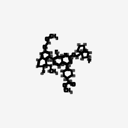 CCc1c(F)ccc2cc(OCOC)cc(-c3ncc4c(N5CCC(C(=O)OC)CC5)nc(OC[C@@]56CCCN5C[C@H](F)C6)nc4c3F)c12